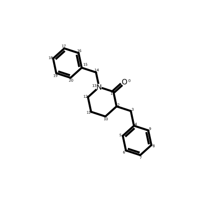 O=C1C(Cc2ccccc2)CCCN1Cc1ccccc1